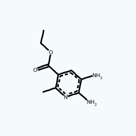 CCOC(=O)c1cc(N)c(N)nc1C